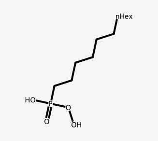 CCCCCCCCCCCCP(=O)(O)OO